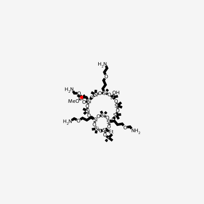 CC[Si]1(O[Si](C)(C)C)O[Si](C)(C)O[Si]2(CCCOCN)O[Si](C)(C)O[Si](CCOCN)(O[Si](C)(C)OC)O[Si](C)(C)O[Si](C)(CCCOCCN)O[Si](C)(O)O[Si](C)(C)O[Si](C)(C)O[Si](CCCOCN)(O[Si](C)(C)O2)O1